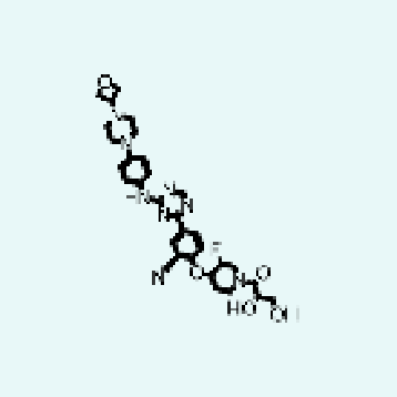 N#Cc1cc(-c2ncnc(Nc3ccc(N4CCN(C5COC5)CC4)cc3)n2)ccc1O[C@H]1CCN(C(=O)C(O)CO)C[C@@H]1F